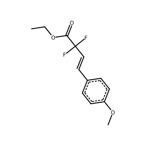 CCOC(=O)C(F)(F)C=Cc1ccc(OC)cc1